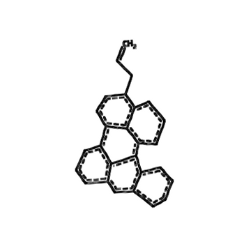 C=CCc1ccc2c3cccc4cc5ccccc5c(c5cccc1c25)c43